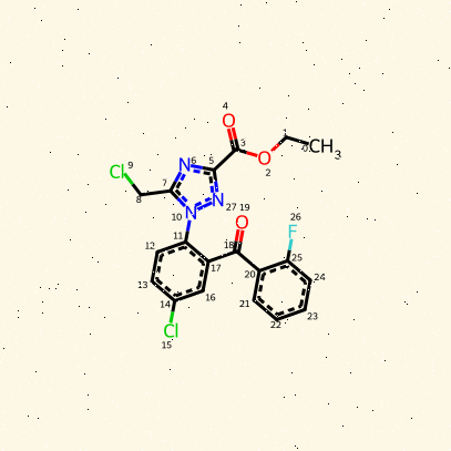 CCOC(=O)c1nc(CCl)n(-c2ccc(Cl)cc2C(=O)c2ccccc2F)n1